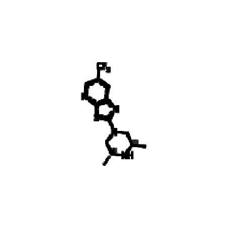 C[C@@H]1CN(c2nc3cc(C(F)(F)F)cnc3s2)C[C@@H](C)N1